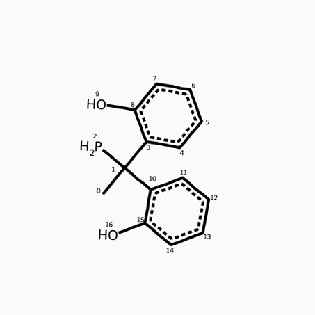 CC(P)(c1ccccc1O)c1ccccc1O